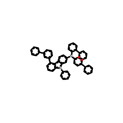 c1ccc(-c2ccc(N(c3ccc4c5c(-c6cccc(-c7ccccc7)c6)cccc5n(-c5ccccc5)c4c3)c3ccccc3-c3ccccc3)cc2)cc1